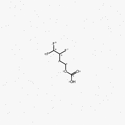 O=C(O)OCCC(F)C(F)F